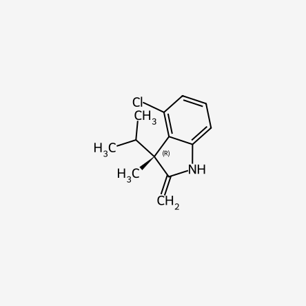 C=C1Nc2cccc(Cl)c2[C@@]1(C)C(C)C